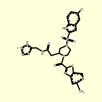 Cc1cc2c(cn1)SC(C(=O)N1CCN(S(=O)(=O)c3cc4cc(Cl)ccc4[nH]3)CC1CC(=O)NCc1nnn[nH]1)=[N+]2.[I-]